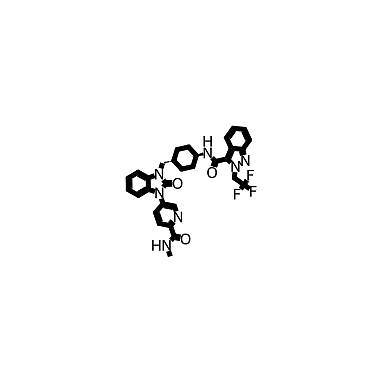 CNC(=O)c1ccc(-n2c(=O)n(C[C@H]3CC[C@H](NC(=O)c4c5ccccc5nn4CC(F)(F)F)CC3)c3ccccc32)cn1